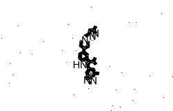 Cc1cc(CN2CCC(c3ccc4[nH]c(-c5cc(C)c6ncnn6c5)c(C(C)C)c4c3)CC2)n(C)n1